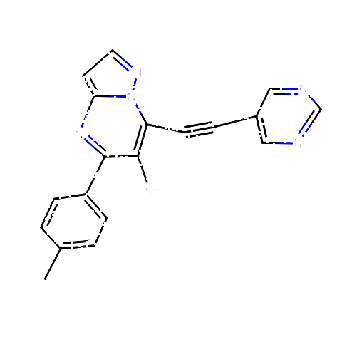 FC(F)(F)c1ccc(-c2nc3ccnn3c(C#Cc3cncnc3)c2C(F)(F)F)cc1